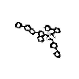 c1ccc(-c2ccc(-c3nc(-c4ccccc4-c4ccccc4)nc(-c4ccc(-c5ccc6cc(-c7ccccc7)ccc6c5)c5ccccc45)n3)cc2)cc1